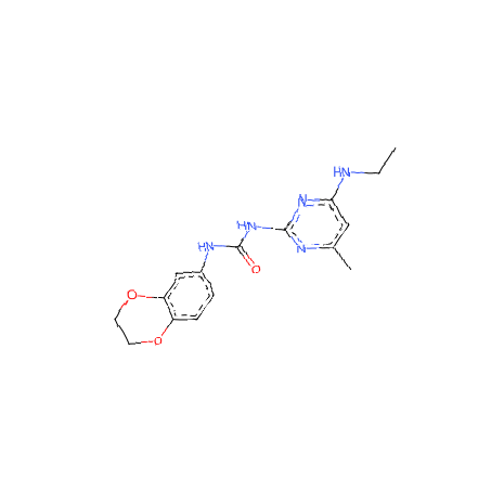 CCNc1cc(C)nc(NC(=O)Nc2ccc3c(c2)OCCO3)n1